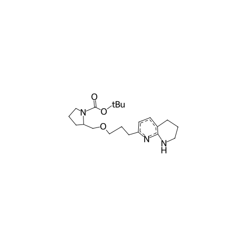 CC(C)(C)OC(=O)N1CCCC1COCCCc1ccc2c(n1)NCCC2